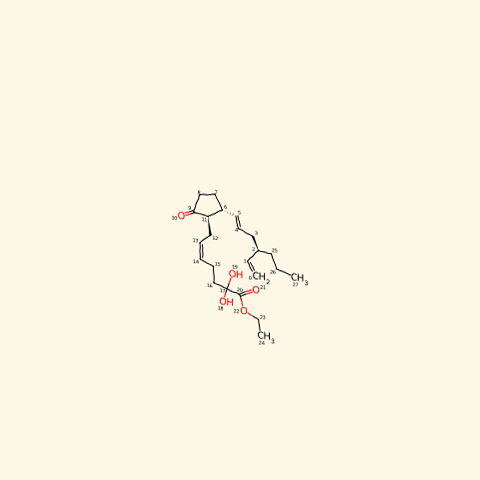 C=C[C@@H](C/C=C/[C@H]1CCC(=O)[C@@H]1C/C=C\CCC(O)(O)C(=O)OCC)CCC